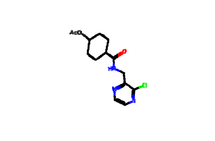 CC(=O)OC1CCC(C(=O)NCc2nccnc2Cl)CC1